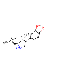 CCCC(C)(C)C[C@@H]1NC[C@H](c2ccc3c(c2)OCO3)[C@H]1C(=O)O